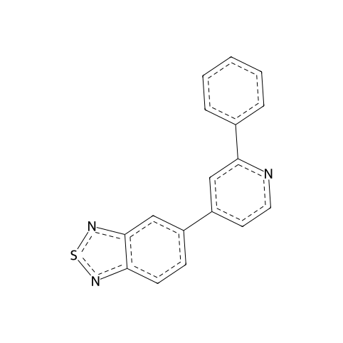 c1ccc(-c2cc(-c3ccc4nsnc4c3)ccn2)cc1